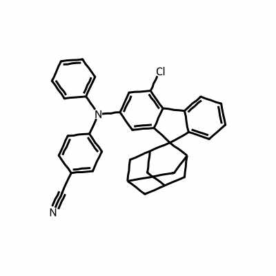 N#Cc1ccc(N(c2ccccc2)c2cc(Cl)c3c(c2)C2(c4ccccc4-3)C3CC4CC(C3)CC2C4)cc1